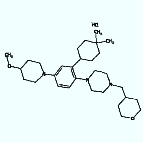 COC1CCN(c2ccc(N3CCN(CC4CCOCC4)CC3)c(C3CCC(C)(C)CC3)c2)CC1.Cl